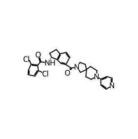 O=C(N[C@@H]1CCc2ccc(C(=O)N3CCC4(CCN(c5ccncc5)CC4)C3)cc21)c1c(Cl)cccc1Cl